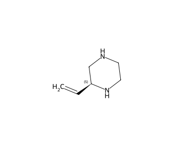 C=C[C@H]1CNCCN1